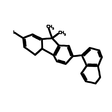 CC1(C)C2=CC(I)=CCC2c2ccc(-c3cccc4c3C=CCC4)cc21